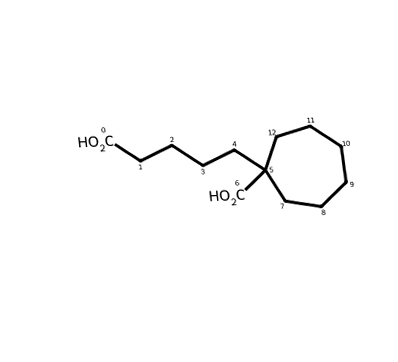 O=C(O)CCCCC1(C(=O)O)CCCCCC1